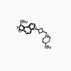 CC(C)(C)c1noc2ccc3c(ccn3C3CC(CN4CCC(C(C)(C)C)CC4)C3)c12